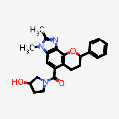 Cc1nc2c3c(c(C(=O)N4CCC(O)C4)cc2n1C)CCC(c1ccccc1)O3